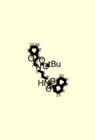 CC(C)(C)OC(=O)N(CCCCNS(=O)(=O)c1cccc2ccccc12)CC1Cc2ccccc2O1